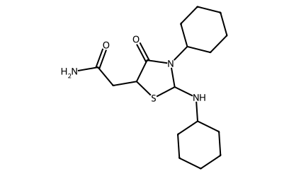 NC(=O)CC1SC(NC2CCCCC2)N(C2CCCCC2)C1=O